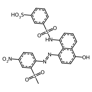 CS(=O)(=O)c1cc([N+](=O)[O-])ccc1N=Nc1ccc(O)c2cccc(NS(=O)(=O)c3cccc(S(=O)(=O)O)c3)c12